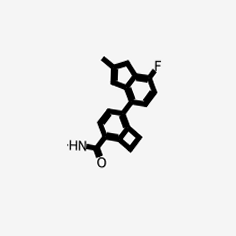 CC1=Cc2c(-c3ccc(C([NH])=O)c4c3CC4)ccc(F)c2C1